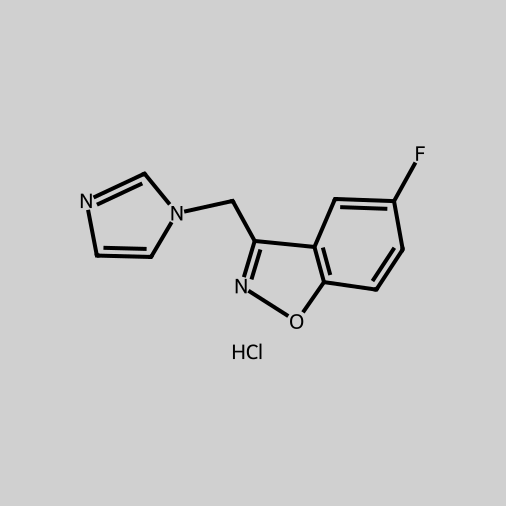 Cl.Fc1ccc2onc(Cn3ccnc3)c2c1